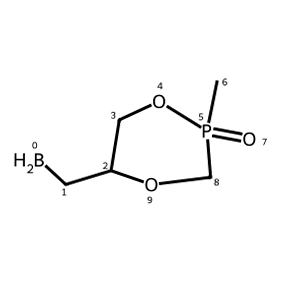 BCC1COP(C)(=O)CO1